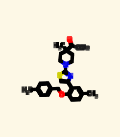 Bc1ccc(COc2ccc(C)cc2-c2csc(N3CCC(C)(C(=O)OC)CC3)n2)cc1